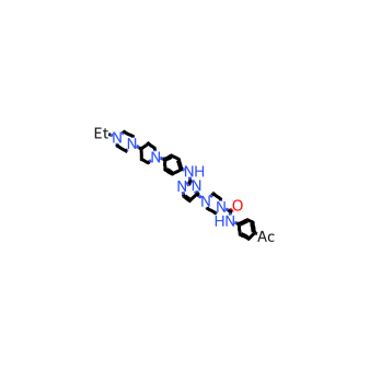 CCN1CCN(C2CCN(c3ccc(Nc4nccc(N5CCN(C(=O)Nc6ccc(C(C)=O)cc6)CC5)n4)cc3)CC2)CC1